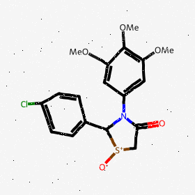 COc1cc(N2C(=O)C[S+]([O-])C2c2ccc(Cl)cc2)cc(OC)c1OC